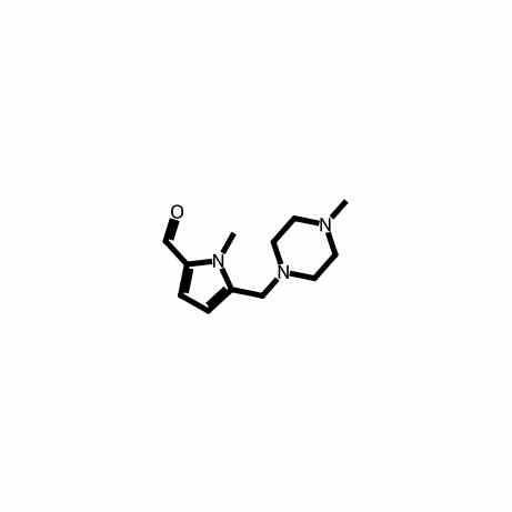 CN1CCN(Cc2ccc(C=O)n2C)CC1